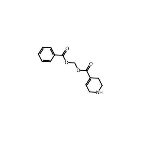 O=C(OCOC(=O)c1ccccc1)C1=CCNCC1